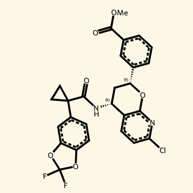 COC(=O)c1cccc([C@H]2C[C@@H](NC(=O)C3(c4ccc5c(c4)OC(F)(F)O5)CC3)c3ccc(Cl)nc3O2)c1